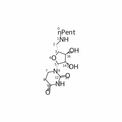 CCCCCNC[C@H]1O[C@@H](N2CCC(=O)NC2=O)[C@H](O)[C@@H]1O